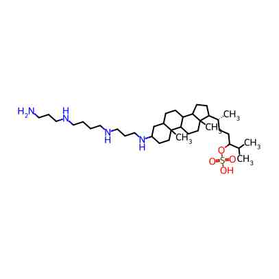 CC(C)C(CC[C@@H](C)C1CCC2C3CCC4CC(NCCCNCCCCNCCCN)CCC4(C)C3CCC21C)OS(=O)(=O)O